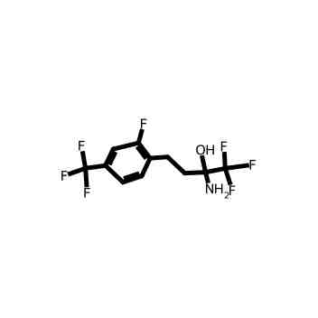 NC(O)(CCc1ccc(C(F)(F)F)cc1F)C(F)(F)F